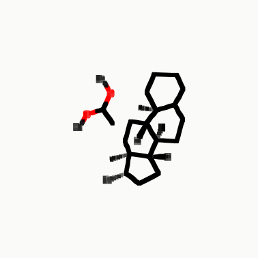 CCOC(C)OCC.CC[C@H]1CC[C@H]2[C@@H]3CCC4CCCC[C@]4(C)[C@H]3CC[C@]12C